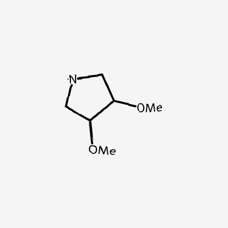 COC1C[N]CC1OC